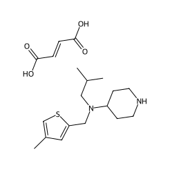 Cc1csc(CN(CC(C)C)C2CCNCC2)c1.O=C(O)C=CC(=O)O